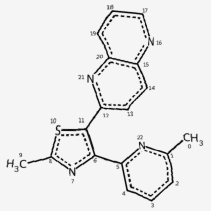 Cc1cccc(-c2nc(C)sc2-c2ccc3ncccc3n2)n1